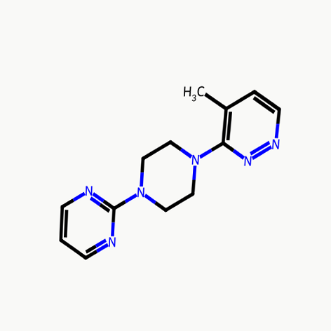 Cc1ccnnc1N1CCN(c2ncccn2)CC1